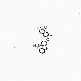 Cc1cc2c(=O)[nH]ccc2cc1O[C@H]1CC[C@@](N)(c2ccccc2F)CC1